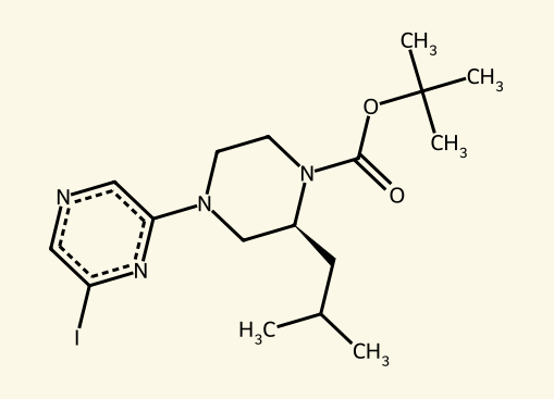 CC(C)C[C@H]1CN(c2cncc(I)n2)CCN1C(=O)OC(C)(C)C